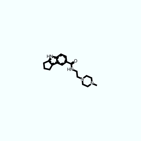 CN1CCN(CCNC(=O)c2ccc3[nH]c4c(c3c2)CCC4)CC1